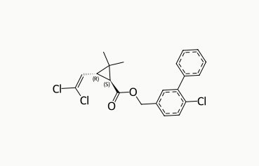 CC1(C)[C@@H](C=C(Cl)Cl)[C@@H]1C(=O)OCc1ccc(Cl)c(-c2ccccc2)c1